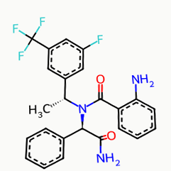 C[C@H](c1cc(F)cc(C(F)(F)F)c1)N(C(=O)c1ccccc1N)[C@@H](C(N)=O)c1ccccc1